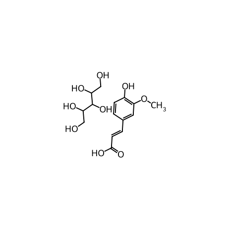 COc1cc(C=CC(=O)O)ccc1O.OCC(O)C(O)C(O)CO